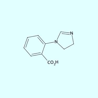 O=C(O)c1ccccc1N1C=NCC1